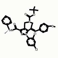 COc1ccc(/C=C2\CN(C(=O)OC(C)(C)C)Cc3c(C(=O)N[C@H](C)c4ccccc4)nn(-c4ccc(Cl)cc4Cl)c32)cc1